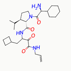 C=CCNC(=O)C(=O)C(CC1CCC1)NC(=O)[C@@H]1[C@@H](C(C)C)CCN1C(=O)[C@@H](N)C1CCCCC1